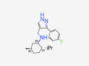 CC(C)[C@@H]1CC[C@@H](C)C[C@H]1NCc1c[nH]nc1-c1ccc(F)cc1